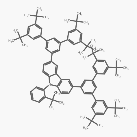 CC(C)(C)c1cc(-c2cc(-c3cc(C(C)(C)C)cc(C(C)(C)C)c3)cc(-c3ccc4c(c3)c3cc(-c5cc(-c6cc(C(C)(C)C)cc(C(C)(C)C)c6)cc(-c6cc(C(C)(C)C)cc(C(C)(C)C)c6)c5)ccc3n4-c3ccccc3C(C)(C)C)c2)cc(C(C)(C)C)c1